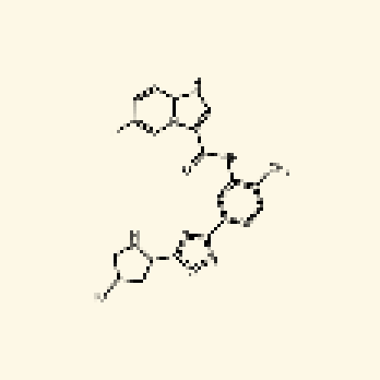 Cc1ccc(-c2noc(C3CC(O)CN3)n2)cc1NC(=O)C1=CNC2C=CC(F)=CN12